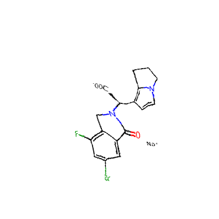 O=C([O-])[C@@H](c1ccn2c1CCC2)N1Cc2c(F)cc(Br)cc2C1=O.[Na+]